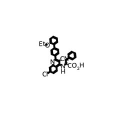 CCOc1ccccc1-c1ccc(-c2nc3cc(Cl)ccc3c(N[C@H](Cc3ccccc3)C(=O)O)c2C#N)cc1